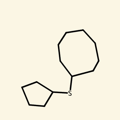 C1CCCC(SC2CCCC2)CCC1